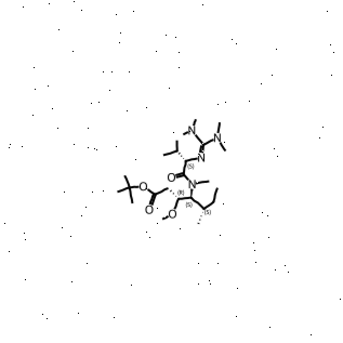 CC[C@H](C)[C@@H]([C@@H](CC(=O)OC(C)(C)C)OC)N(C)C(=O)[C@@H](N=C(N(C)C)N(C)C)C(C)C